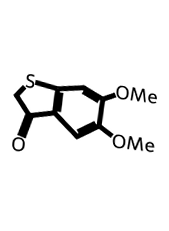 COc1cc2c(cc1OC)C(=O)CS2